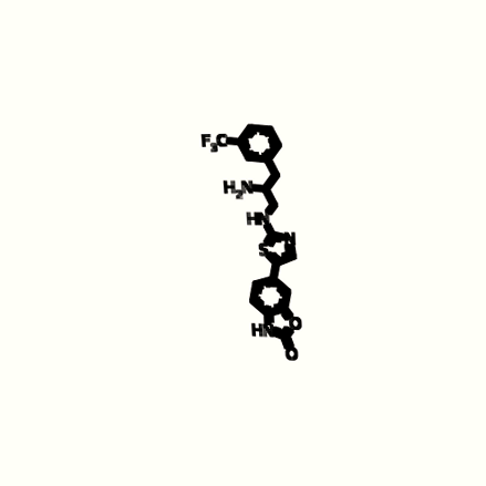 NC(CNc1ncc(-c2ccc3[nH]c(=O)oc3c2)s1)Cc1cccc(C(F)(F)F)c1